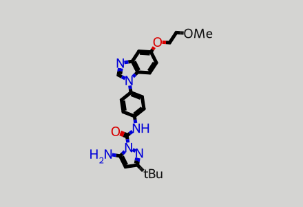 COCCOc1ccc2c(c1)ncn2-c1ccc(NC(=O)n2nc(C(C)(C)C)cc2N)cc1